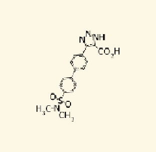 CN(C)S(=O)(=O)c1ccc(-c2ccc(-c3nn[nH]c3C(=O)O)cc2)cc1